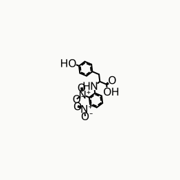 O=C(O)C(Cc1ccc(O)cc1)Nc1cccc([N+](=O)[O-])c1[N+](=O)[O-]